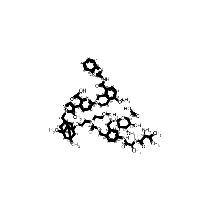 COCCN(CCOC12CC3(C)CC(C)(CC(Cn4ncc(-c5ccc(N6CCc7c(OC)ccc(C(=O)Nc8nc9ccccc9s8)c7C6)nc5C(=O)O)c4C)(C3)C1)C2)C(=O)OCc1ccc(NC(=O)[C@H](C)NC(=O)[C@@H](N)C(C)C)cc1CC[C@@H]1O[C@H](C(=O)O)[C@@H](O)[C@H](O)[C@H]1O